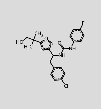 CC(C)(CO)c1nc(C(Cc2ccc(Cl)cc2)NC(=O)Nc2ccc(F)cc2)no1